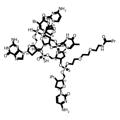 Cc1cn([C@H]2CC(OP(=S)(OCCOCCOCCNC(=O)C(C)C)OC[C@H]3O[C@@H](n4ccc(N)nc4=O)CC3C(C)C)[C@@H](COP(=O)(S)OC3C[C@H](n4cnc5c(=O)[nH]c(N)nc54)O[C@@H]3COP(=O)(S)OC3C[C@H](n4ccc(N)nc4=O)O[C@@H]3COP(=O)(S)OC3C[C@H](n4cc(Br)c(=O)[nH]c4=O)O[C@@H]3CO)O2)c(=O)[nH]c1=O